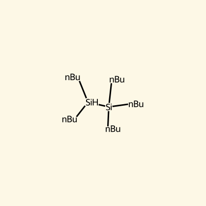 CCCC[SiH](CCCC)[Si](CCCC)(CCCC)CCCC